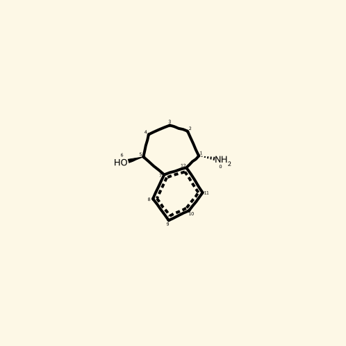 N[C@H]1CCC[C@H](O)c2ccccc21